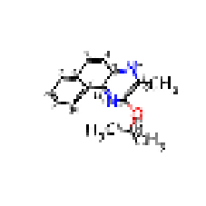 Cc1nc2ccc3ccccc3c2nc1OC(C)C